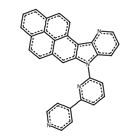 c1cc(-c2ccncc2)nc(-n2c3cccnc3c3c4ccc5cccc6ccc(cc32)c4c65)c1